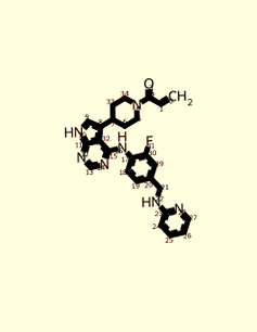 C=CC(=O)N1CCC(c2c[nH]c3ncnc(Nc4ccc(CNc5ccccn5)cc4F)c23)CC1